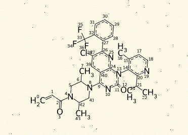 C=CC(=O)N1CC(C)N(c2nc(=O)n(-c3c(C)ccnc3C(C)C)c3nc(-c4ccccc4C(F)(F)F)c(Cl)cc23)CC1C